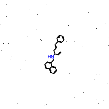 C=CC(CC=Cc1ccccc1)NCc1cccc2ccccc12